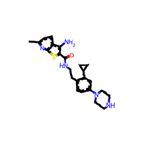 Cc1ccc2c(N)c(C(=O)NCCc3ccc(N4CCNCC4)cc3C3CC3)sc2n1